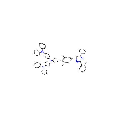 Cc1ccccc1-c1cc(-c2cc(C)c(-c3ccc(-n4c5ccc(N(c6ccccc6)c6ccccc6)cc5c5cc(N(c6ccccc6)c6ccccc6)ccc54)cc3)c(C)c2)nc(-c2ccccc2C)n1